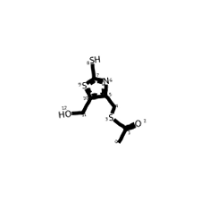 CC(=O)SCc1nc(S)sc1CO